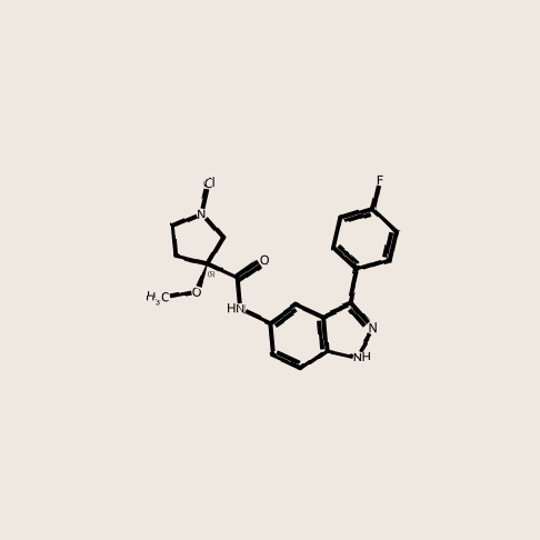 CO[C@@]1(C(=O)Nc2ccc3[nH]nc(-c4ccc(F)cc4)c3c2)CCN(Cl)C1